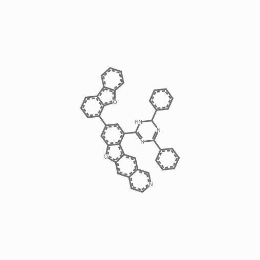 c1ccc(C2=NC(c3ccccc3)NC(c3cc(-c4cccc5c4oc4ccccc45)cc4oc5cc6ccncc6cc5c34)=N2)cc1